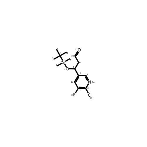 CC(C)(C)[Si](C)(C)OC(CC=O)c1cnc(Cl)c(F)c1